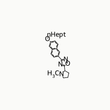 CCCCCCCOc1ccc2cc(-c3noc(C4CCCN4C)n3)ccc2c1